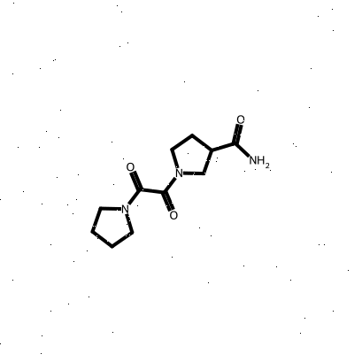 NC(=O)C1CCN(C(=O)C(=O)N2CCCC2)C1